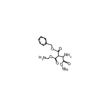 CC(C)(C)OC(=O)C(N)C(C(=O)OCN)C(=O)OCc1ccccc1